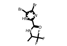 CC(NC(=O)c1nc(Br)c(Br)[nH]1)C(F)(F)F